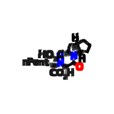 CCCCC[C@H](N[C@@H](C)C(=O)N1[C@H](C(=O)O)C[C@@H]2CCC[C@@H]21)C(=O)O